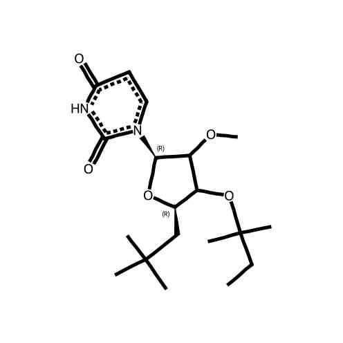 CCC(C)(C)OC1C(OC)[C@H](n2ccc(=O)[nH]c2=O)O[C@@H]1CC(C)(C)C